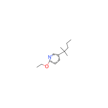 CCCC(C)(C)c1ccc(OCC)nc1